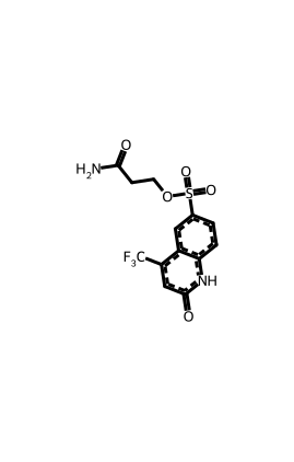 NC(=O)CCOS(=O)(=O)c1ccc2[nH]c(=O)cc(C(F)(F)F)c2c1